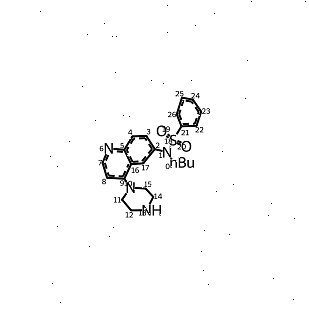 CCCCN(c1ccc2nccc(N3CCNCC3)c2c1)S(=O)(=O)c1ccccc1